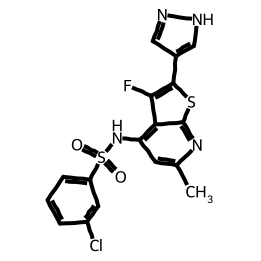 Cc1cc(NS(=O)(=O)c2cccc(Cl)c2)c2c(F)c(-c3cn[nH]c3)sc2n1